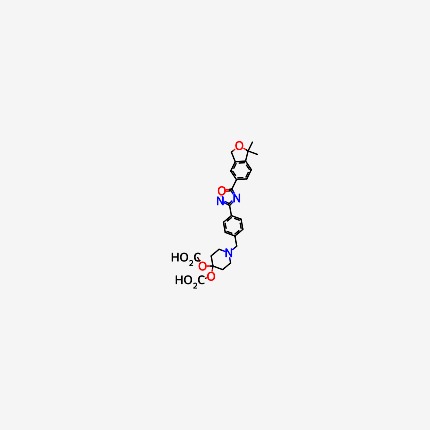 CC1(C)OCc2cc(-c3nc(-c4ccc(CN5CCC(OC(=O)O)(OC(=O)O)CC5)cc4)no3)ccc21